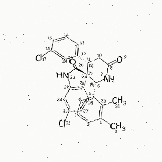 Cc1cccc([C@H]2NC(=O)C[C@@H](c3cccc(Cl)c3)[C@]23C(=O)Nc2cc(Cl)ccc23)c1C